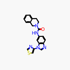 O=C(Nc1ccc2ncn(-c3cscn3)c2c1)N1CCc2ccccc2C1